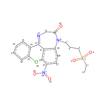 CCS(=O)(=O)CCCN1C(=O)CN=C(c2ccccc2Cl)c2cc([N+](=O)[O-])ccc21